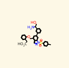 Cc1ccc(S(=O)(=O)n2ncc3c(COc4ccccc4CC(=O)O)cc(-c4cccc(C(N)CO)c4)cc32)cc1